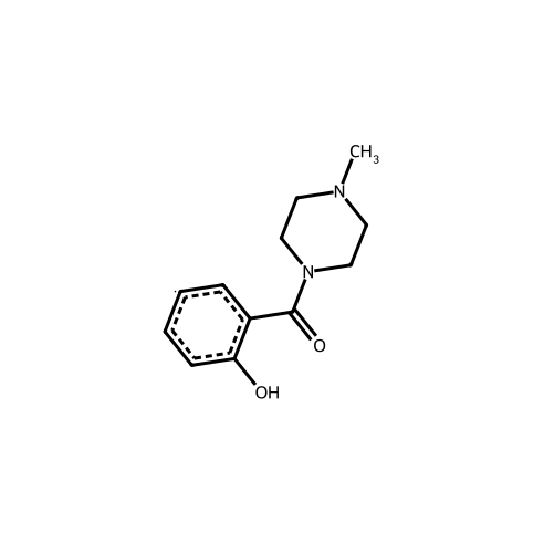 CN1CCN(C(=O)c2c[c]ccc2O)CC1